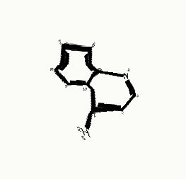 [2H]c1ccnc2ccccc12